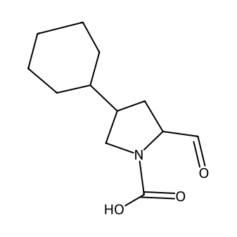 O=CC1CC(C2CCCCC2)CN1C(=O)O